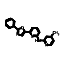 Cc1ccnc(Nc2cccc(-c3cnc(-c4ccccc4)o3)n2)c1